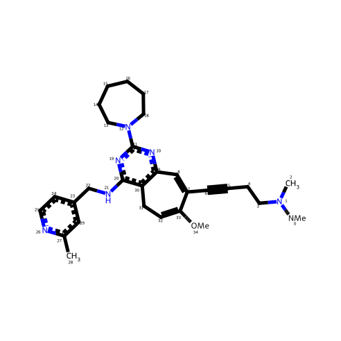 CNN(C)CCC#CC1=Cc2nc(N3CCCCCC3)nc(NCc3ccnc(C)c3)c2CC=C1OC